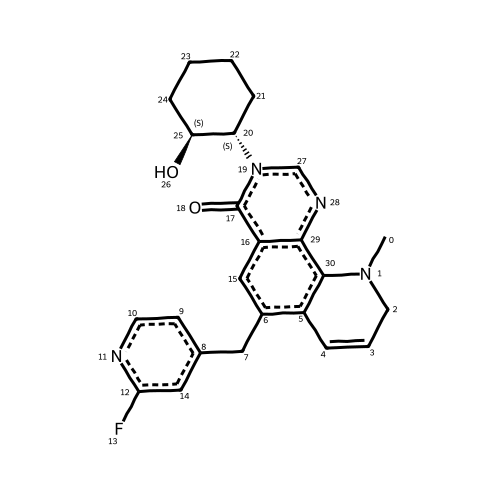 CN1CC=Cc2c(Cc3ccnc(F)c3)cc3c(=O)n([C@H]4CCCC[C@@H]4O)cnc3c21